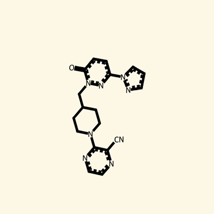 N#Cc1nccnc1N1CCC(Cn2nc(-n3cccn3)ccc2=O)CC1